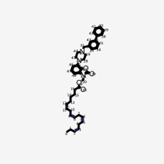 CC/C=C\C/C=C\C/C=C\C/C=C\CCCCC(=O)OCn1c(=O)oc2c(N3CCN(Cc4cccc(-c5ccccc5)c4)CC3)cccc21